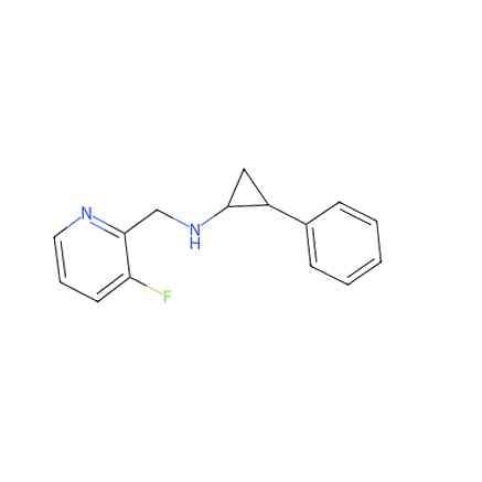 Fc1cccnc1CNC1CC1c1ccccc1